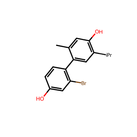 Cc1cc(O)c(C(C)C)cc1-c1ccc(O)cc1Br